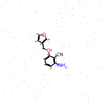 N#Cc1c(N)cccc1OCc1ccoc1